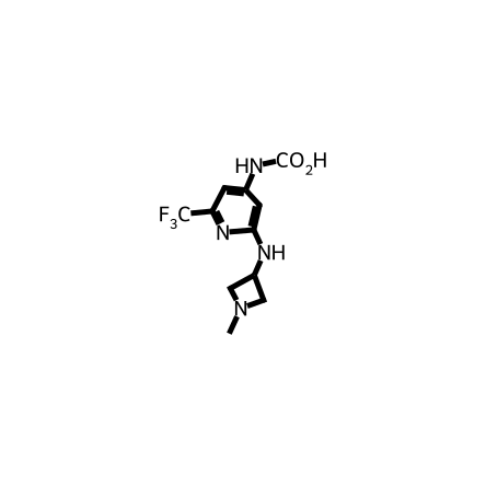 CN1CC(Nc2cc(NC(=O)O)cc(C(F)(F)F)n2)C1